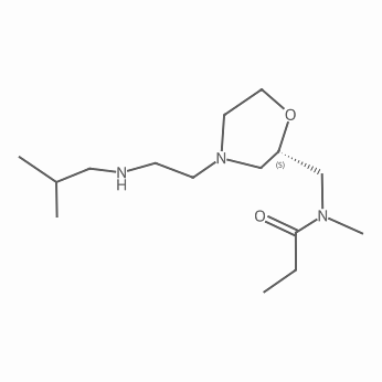 CCC(=O)N(C)C[C@@H]1CN(CCNCC(C)C)CCO1